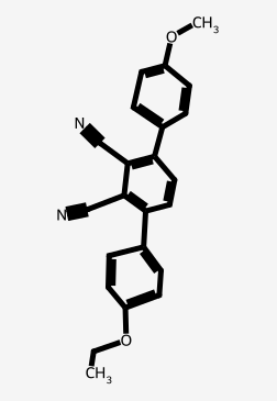 CCOc1ccc(-c2ccc(-c3ccc(OC)cc3)c(C#N)c2C#N)cc1